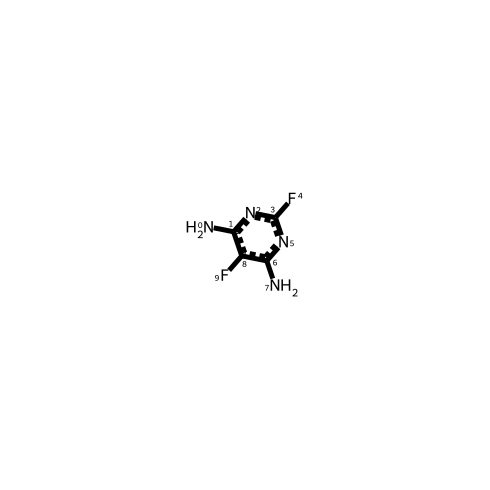 Nc1nc(F)nc(N)c1F